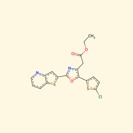 CCOC(=O)Cc1nc(-c2cc3ncccc3s2)oc1-c1ccc(Cl)s1